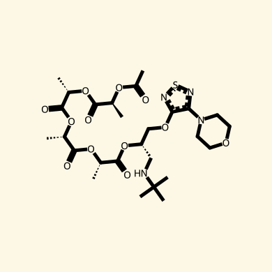 CC(=O)O[C@@H](C)C(=O)O[C@@H](C)C(=O)O[C@@H](C)C(=O)O[C@@H](C)C(=O)O[C@@H](CNC(C)(C)C)COc1nsnc1N1CCOCC1